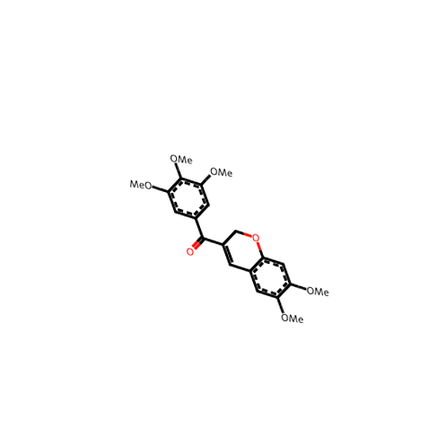 COc1cc2c(cc1OC)OCC(C(=O)c1cc(OC)c(OC)c(OC)c1)=C2